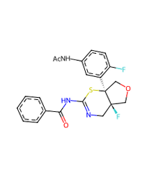 CC(=O)Nc1ccc(F)c([C@]23COC[C@]2(F)CN=C(NC(=O)c2ccccc2)S3)c1